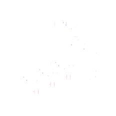 NC(=O)O.NC(=O)O.NC(=O)O.NC(=O)O.O=C(c1ccccc1)c1ccccc1